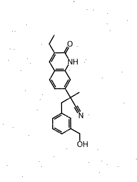 CCc1cc2ccc(C(C)(C#N)Cc3cccc(CO)c3)cc2[nH]c1=O